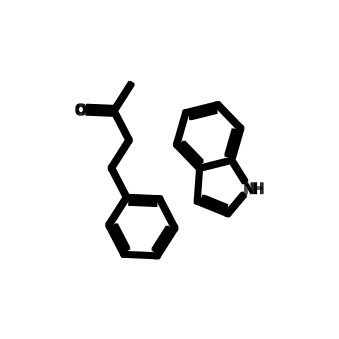 CC(=O)CCc1ccccc1.c1ccc2[nH]ccc2c1